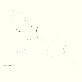 COc1ccc(-c2cc3ccccc3n2CCN(C)C)c(C=O)c1